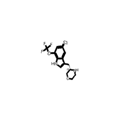 FC(F)(F)Oc1cc(Cl)cc2c(C[C@H]3COCCN3)c[nH]c12